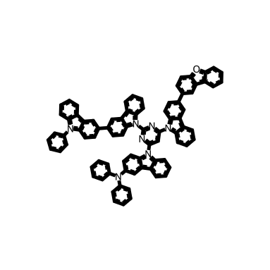 c1ccc(N(c2ccccc2)c2ccc3c(c2)c2ccccc2n3-c2cc(-n3c4ccccc4c4cc(-c5ccc6oc7ccccc7c6c5)ccc43)nc(-n3c4ccccc4c4cc(-c5ccc6c(c5)c5ccccc5n6-c5ccccc5)ccc43)n2)cc1